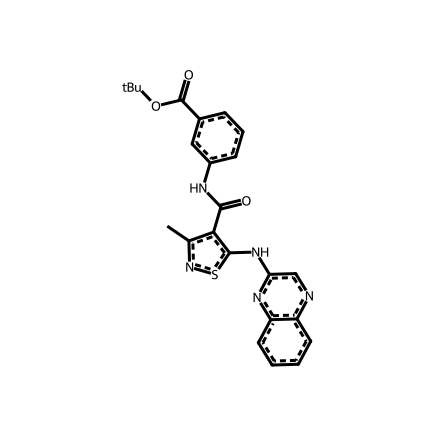 Cc1nsc(Nc2cnc3ccccc3n2)c1C(=O)Nc1cccc(C(=O)OC(C)(C)C)c1